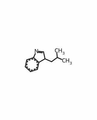 CC(C)CC1C=Nc2ccccc21